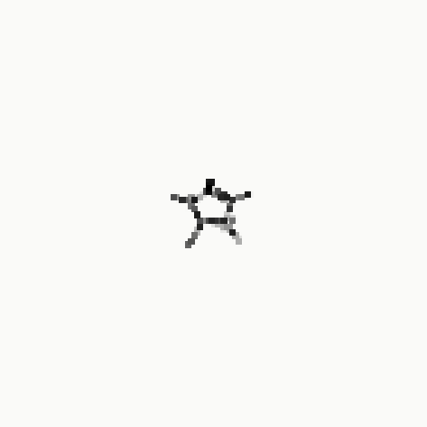 Cc1pp(C)c(C)[n+]1C